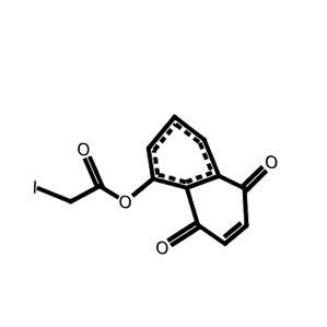 O=C(CI)Oc1cccc2c1C(=O)C=CC2=O